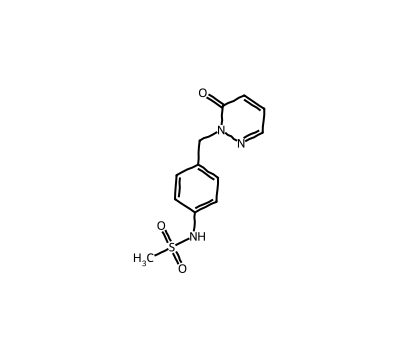 CS(=O)(=O)Nc1ccc(Cn2ncccc2=O)cc1